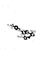 COc1ncnc(C2CC2)c1-c1ncc2nc(NCc3ccc(S(C)(=O)=O)cc3)c(=O)n([C@H]3CCC[C@@H]3OC)c2n1